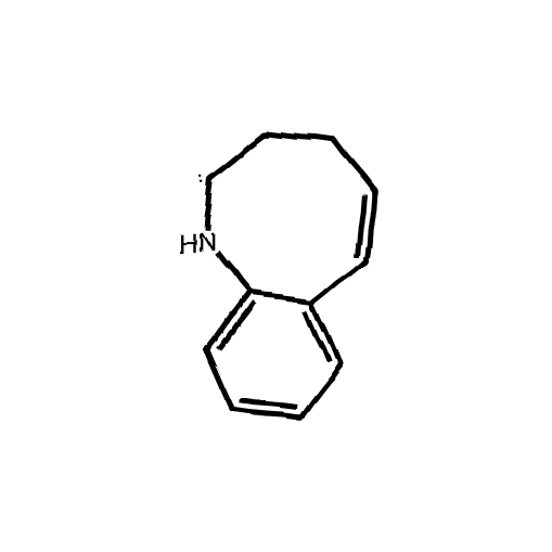 [C]1CC/C=C\c2ccccc2N1